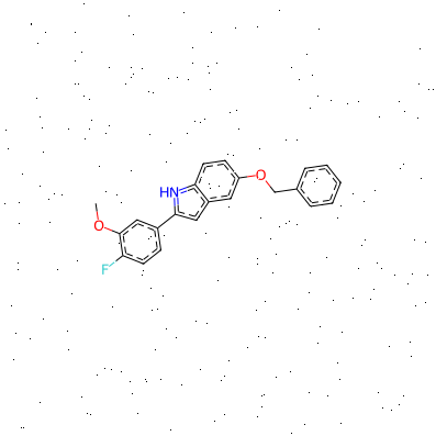 COc1cc(-c2cc3cc(OCc4ccccc4)ccc3[nH]2)ccc1F